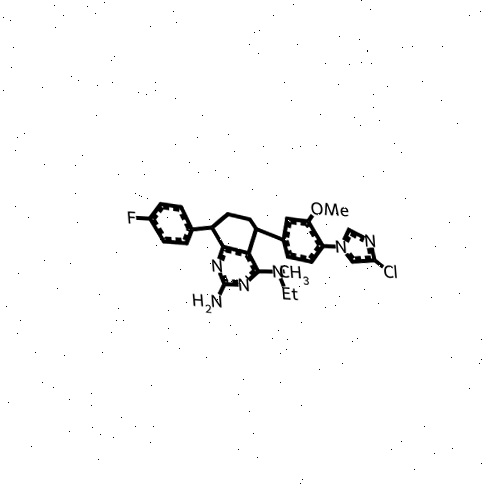 CCN(C)c1nc(N)nc2c1C(c1ccc(-n3cnc(Cl)c3)c(OC)c1)CCC2c1ccc(F)cc1